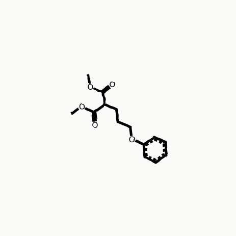 COC(=O)C(CCCOc1ccccc1)C(=O)OC